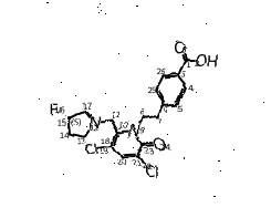 O=C(O)c1ccc(CCn2c(CN3CC[C@H](F)C3)c(Cl)cc(Cl)c2=O)cc1